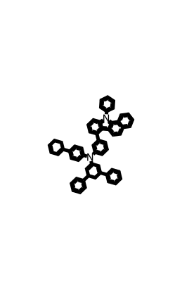 C1=CCCC(c2ccc(N(C3=CC(c4ccccc4)CC(c4ccccc4)=C3)c3cccc(-c4cccc5c4c4ccc6ccccc6c4n5-c4ccccc4)c3)cc2)=C1